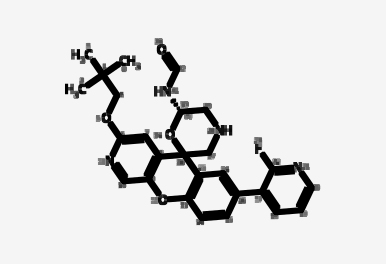 CC(C)(C)COc1cc2c(cn1)Oc1ccc(-c3cccnc3F)cc1C21CNC[C@@H](NC=O)O1